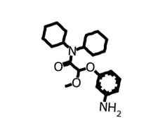 COC(Oc1cccc(N)c1)C(=O)N(C1CCCCC1)C1CCCCC1